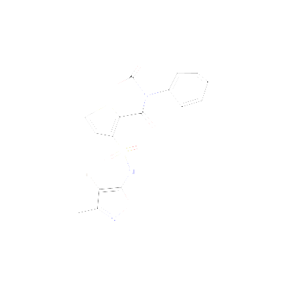 Cc1noc(NS(=O)(=O)c2ccsc2C(=O)N(C(=O)O)c2ccccc2)c1Br